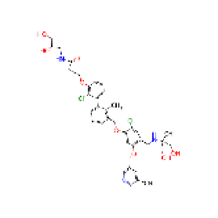 Cc1c(COc2cc(OCc3cncc(C#N)c3)c(CNC(C)(CO)CO)cc2Cl)cccc1-c1cccc(OCCC(=O)NC[C@H](O)CO)c1Cl